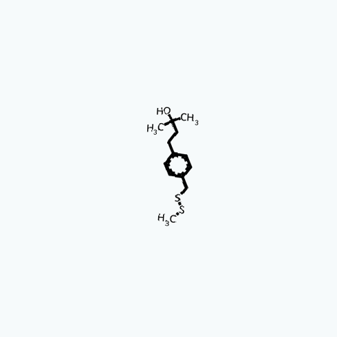 CSSCc1ccc(CCC(C)(C)O)cc1